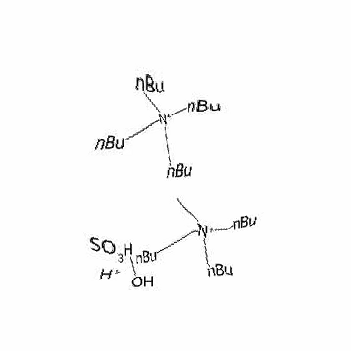 CCCC[N+](C)(CCCC)CCCC.CCCC[N+](CCCC)(CCCC)CCCC.O=S(=O)(O)O.[H+]